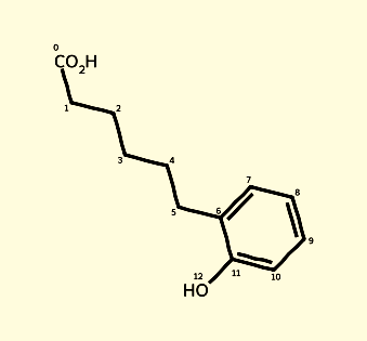 O=C(O)CCCCCc1ccccc1O